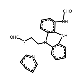 O=CNCCN1c2ccccc2Nc2c(NC=O)cccc21.c1ccncc1